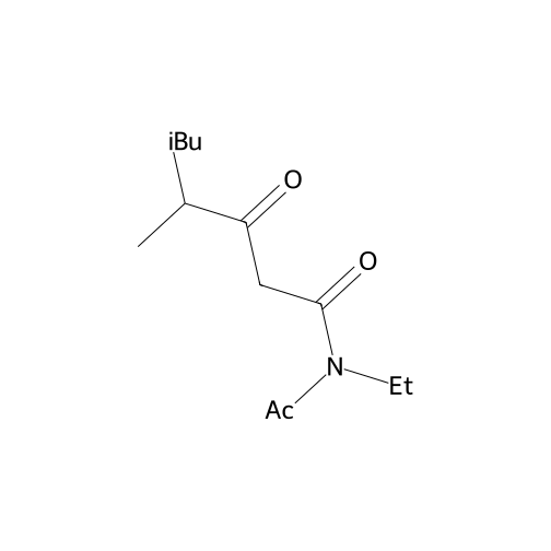 CCC(C)C(C)C(=O)CC(=O)N(CC)C(C)=O